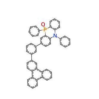 O=P1(c2ccccc2)c2ccccc2N(c2ccccc2)c2ccc(-c3cccc(-c4ccc5c6ccccc6c6ccccc6c5c4)c3)cc21